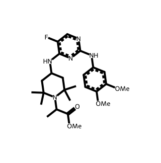 COC(=O)C(C)N1C(C)(C)CC(Nc2nc(Nc3ccc(OC)c(OC)c3)ncc2F)CC1(C)C